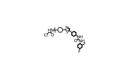 CC(C)(NC(=O)CCl)C1CCC(c2ncc(-c3ccc(NC(=O)Nc4ccc(F)cc4F)cc3)s2)CC1